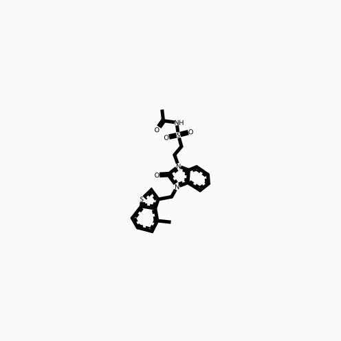 CC(=O)NS(=O)(=O)CCn1c(=O)n(Cc2csc3cccc(C)c23)c2ccccc21